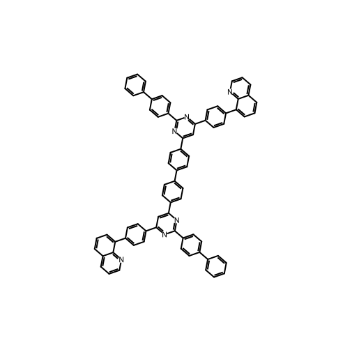 c1ccc(-c2ccc(-c3nc(-c4ccc(-c5ccc(-c6cc(-c7ccc(-c8cccc9cccnc89)cc7)nc(-c7ccc(-c8ccccc8)cc7)n6)cc5)cc4)cc(-c4ccc(-c5cccc6cccnc56)cc4)n3)cc2)cc1